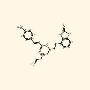 C=CCNCC(COc1cccc2c1CC(=O)N2)OC(=O)/C=C/c1ccc(OC)cc1